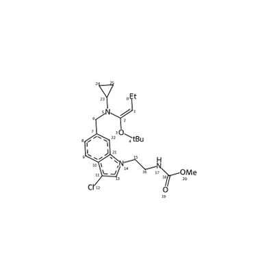 CC/C=C(/OC(C)(C)C)N(Cc1ccc2c(Cl)cn(CCNC(=O)OC)c2c1)C1CC1